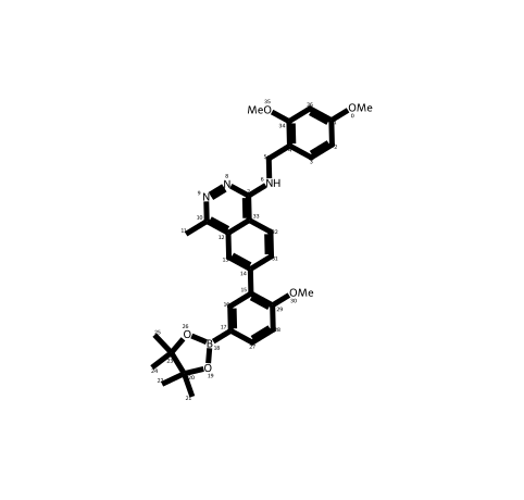 COc1ccc(CNc2nnc(C)c3cc(-c4cc(B5OC(C)(C)C(C)(C)O5)ccc4OC)ccc23)c(OC)c1